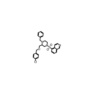 O=S(=O)(c1cccc2cnccc12)N1CCN(Cc2ccccc2)C(COCc2ccc(Cl)cc2)C1